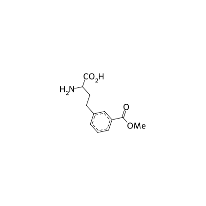 COC(=O)c1cccc(CCC(N)C(=O)O)c1